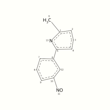 Cc1cccc(-c2cccc(N=O)c2)n1